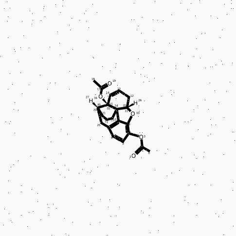 CC(=O)Oc1ccc2c3c1O[C@H]1CC=C[C@@]4(OC(C)=O)[C@H](CCCC314)C2